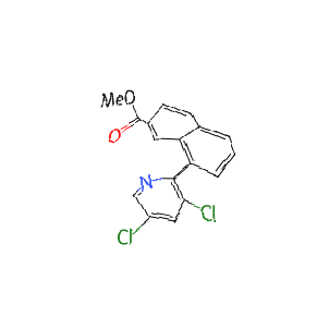 COC(=O)c1ccc2cccc(-c3ncc(Cl)cc3Cl)c2c1